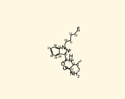 CC(C)C(NC(=O)c1nn(CCCCF)c2ccccc12)C(N)=O